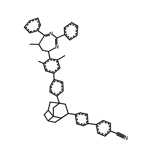 Cc1cc(-c2ccc(C34CC5CC6CC(c7ccc(-c8ccc(C#N)cc8)cc7)(C3)CC65C4)cc2)cc(C)c1C1CC(C)C(c2ccccc2)=NC(c2ccccc2)=N1